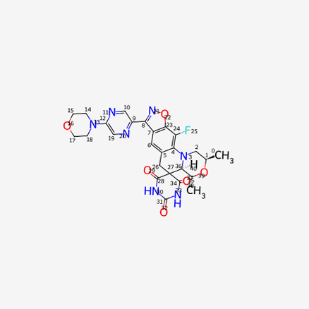 C[C@@H]1CN2c3c(cc4c(-c5cnc(N6CCOCC6)cn5)noc4c3F)CC3(C(=O)NC(=O)NC3=O)[C@@H]2[C@@H](C)O1